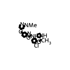 CNc1cc(Oc2ccc3oc(Nc4ccc(Cl)c(OC(C)[C@@H]5CCCN5)c4)nc3c2)ccn1